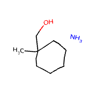 CC1(CO)CCCCC1.N